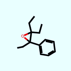 CCC1(CC)OC1(CC)c1ccccc1